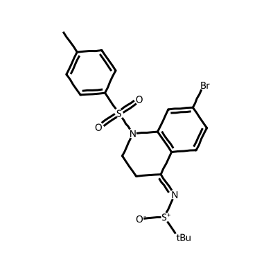 Cc1ccc(S(=O)(=O)N2CCC(=N[S+]([O-])C(C)(C)C)c3ccc(Br)cc32)cc1